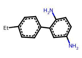 CCc1ccc(-c2cc(N)ccc2N)cc1